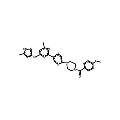 COc1ccc(C(=O)N2CCN(c3ccc(-c4nc(C)cc(Nc5cc(C)[nH]n5)n4)cn3)CC2)cn1